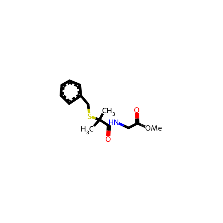 COC(=O)CNC(=O)C(C)(C)SCc1ccccc1